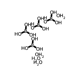 O.O.O.O.OB(O)O.OB(O)O.OB(O)O.OB(O)O